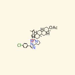 C=C(C)[C@@H]1CC[C@]2(C(=O)N3CCCC3c3ncc(-c4ccc(Cl)cc4)[nH]3)CC[C@]3(C)[C@H](CC[C@@H]4[C@@]5(C)CC[C@H](OC(C)=O)C(C)(C)[C@@H]5CC[C@]43C)[C@@H]12